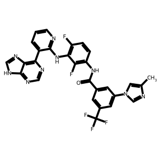 Cc1cn(-c2cc(C(=O)Nc3ccc(F)c(Nc4ncccc4-c4ncnc5[nH]cnc45)c3F)cc(C(F)(F)F)c2)cn1